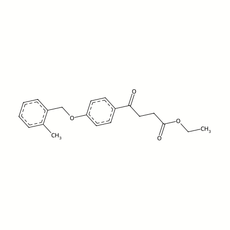 CCOC(=O)CCC(=O)c1ccc(OCc2ccccc2C)cc1